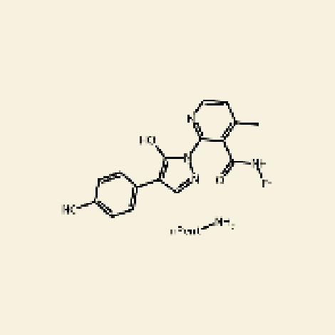 CCCCCN.CCNC(=O)c1c(C)ccnc1-n1ncc(-c2ccc(C#N)cc2)c1O